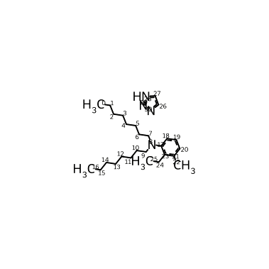 CCCCCCCCN(CCCCCCCC)c1cccc(C)c1CC.c1c[nH]nn1